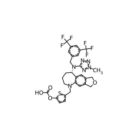 Cn1nnc(N(Cc2cc(C(F)(F)F)cc(C(F)(F)F)c2)[C@H]2CCCN(Cc3ccc(OC(=O)O)s3)c3cc4c(cc32)COC4)n1